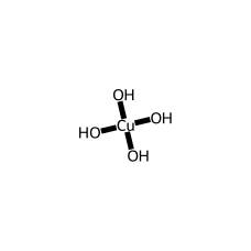 [OH][Cu]([OH])([OH])[OH]